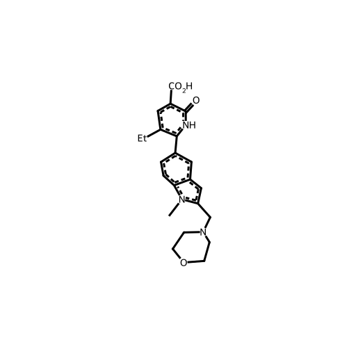 CCc1cc(C(=O)O)c(=O)[nH]c1-c1ccc2c(c1)cc(CN1CCOCC1)n2C